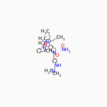 CCCCc1c(CCCC)c(-c2cc3c(cc2C(=O)N2Cc4ccccc4C[C@H]2C)CN(C(=O)Cc2ccc(NCCN(C)C)cc2)CC3)n(C)c1C.NC=O